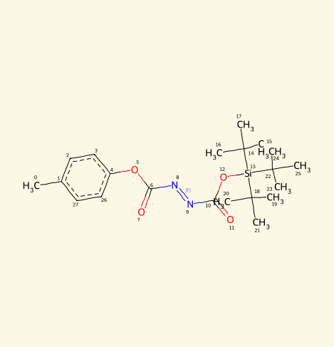 Cc1ccc(OC(=O)/N=N/C(=O)O[Si](C(C)(C)C)(C(C)(C)C)C(C)(C)C)cc1